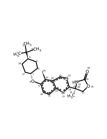 CC(C)(C)[C@H]1CC[C@H](Oc2ccc3nc([C@]4(C)COC(=O)N4)ncc3c2I)CC1